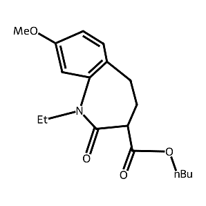 CCCCOC(=O)C1CCc2ccc(OC)cc2N(CC)C1=O